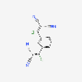 N#CC(C#N)=C(Cl)c1cccc(C(Cl)=C(C#N)C#N)c1